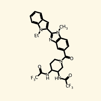 CCn1c(-c2nc3cc(C(=O)N4CCC(NC(=O)C(F)(F)F)C(NC(=O)C(F)(F)F)C4)ccc3n2C)cc2ccccc21